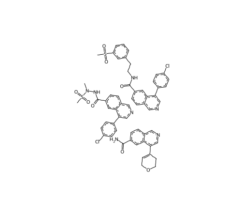 CN(NC(=O)c1ccc2cncc(-c3ccc(Cl)cc3)c2c1)S(C)(=O)=O.CS(=O)(=O)c1cccc(CCNC(=O)c2ccc3cncc(-c4ccc(Cl)cc4)c3c2)c1.NC(=O)c1ccc2cncc(C3=CCOCC3)c2c1